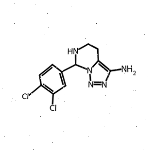 Nc1nnn2c1CCNC2c1ccc(Cl)c(Cl)c1